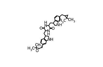 CC1(C)CC1Cc1ccc2c(c1)NCC2CC1NC(=O)C(CC2CNc3cc(CC4OC4(C)C)ccc32)NC1=O